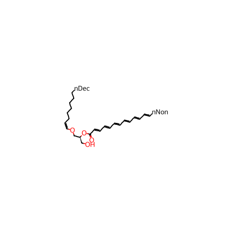 CCCCCCCCCC=CC=CC=CC=CC=CC=CC(=O)O[C@@H](CO)CO/C=C\CCCCCCCCCCCCCCCC